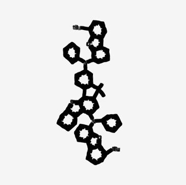 CC(C)(C)c1cccc2c1oc1c(N(c3ccccc3)c3ccc4c(c3)C(C)(C)c3cc(N(c5ccccc5)c5cccc6c5oc5c(C(C)(C)C)cccc56)c5c(sc6ccccc65)c3-4)cccc12